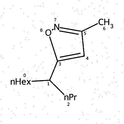 CCCCCCC(CCC)c1cc(C)no1